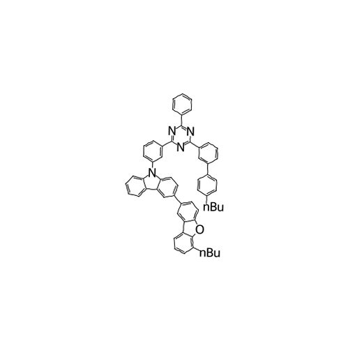 CCCCc1ccc(-c2cccc(-c3nc(-c4ccccc4)nc(-c4cccc(-n5c6ccccc6c6cc(-c7ccc8oc9c(CCCC)cccc9c8c7)ccc65)c4)n3)c2)cc1